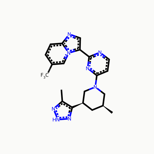 Cc1n[nH]nc1[C@@H]1C[C@H](C)CN(c2ccnc(-c3cnc4ccc(C(F)(F)F)cn34)n2)C1